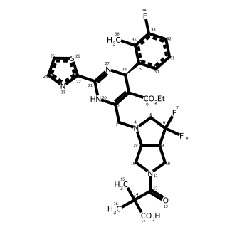 CCOC(=O)C1=C(CN2CC(F)(F)C3CN(C(=O)C(C)(C)C(=O)O)CC32)NC(c2nccs2)=N[C@H]1c1cccc(F)c1C